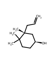 C=CC[C@]1(C)C[C@@H](O)CCC1(C)C